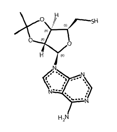 CC1(C)O[C@@H]2[C@@H](O1)[C@@H](CS)O[C@H]2n1cnc2c(N)ncnc21